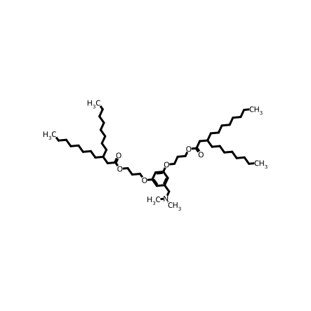 CCCCCCCCC(CCCCCCCC)CC(=O)OCCCOc1cc(CN(C)C)cc(OCCCOC(=O)CC(CCCCCCCC)CCCCCCCC)c1